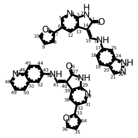 O=C1Nc2ncc(-c3ccco3)cc2/C1=C/Nc1ccc2cn[nH]c2c1.O=C1Nc2ncc(-c3ccco3)cc2/C1=C/Nc1ccc2ncccc2c1